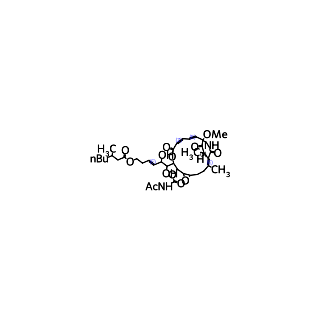 CCCCC(C)CC(=O)OCC/C=C/C(O)C(O)C1OC(=O)/C=C\C=C\C2(OC)NC(=O)/C(=C(\C)CCC3OC3C1OC(=O)NC(C)=O)[C@H](C)C2=O